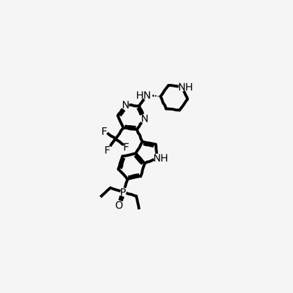 CCP(=O)(CC)c1ccc2c(-c3nc(N[C@H]4CCCNC4)ncc3C(F)(F)F)c[nH]c2c1